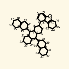 C1=CC(C2CCC3C(C2)C(C2CCC4=C(CCCC4)C2)C2CCCCC2C3C2CCC3CCCCC3C2)C2C(=C1)OC1=C2CCCC1